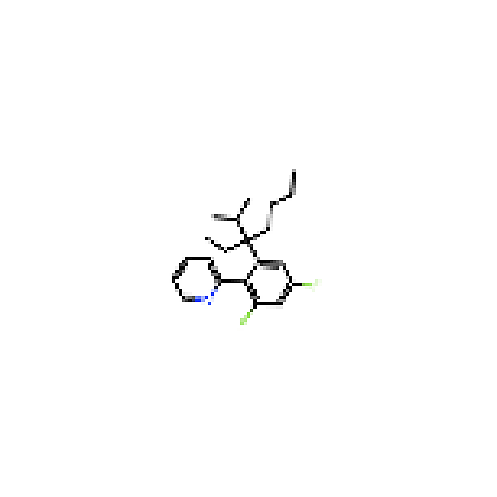 CCCCC(CC)(c1cc(F)cc(F)c1-c1ccccn1)C(C)C